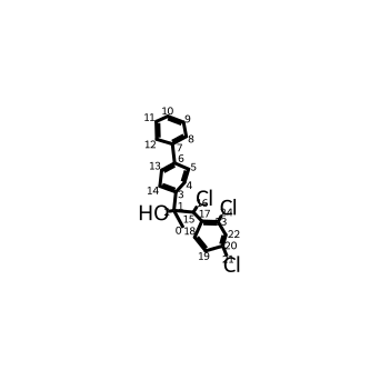 CC(O)(c1ccc(-c2ccccc2)cc1)C(Cl)c1ccc(Cl)cc1Cl